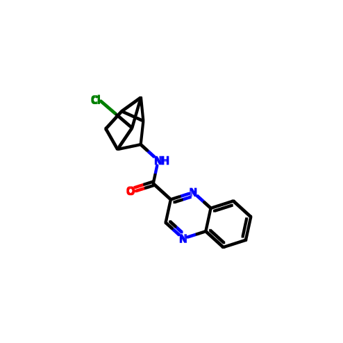 O=C(NC1C2CC3C(C2Cl)C31)c1cnc2ccccc2n1